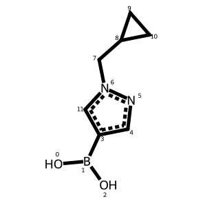 OB(O)c1cnn(CC2CC2)c1